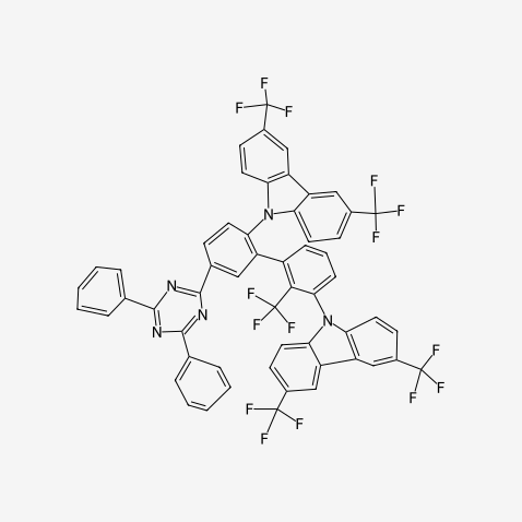 FC(F)(F)c1ccc2c(c1)c1cc(C(F)(F)F)ccc1n2-c1ccc(-c2nc(-c3ccccc3)nc(-c3ccccc3)n2)cc1-c1cccc(-n2c3ccc(C(F)(F)F)cc3c3cc(C(F)(F)F)ccc32)c1C(F)(F)F